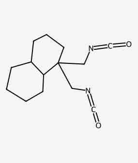 O=C=NCC1(CN=C=O)CCCC2CCCCC21